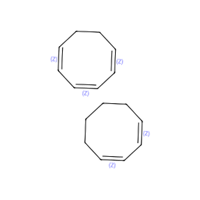 C1=C\C=C/CC\C=C/1.C1=C\CCCC\C=C/1